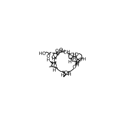 C=C1C[C@@H]2CCO[C@H]3[C@@H]4C[C@H]5CC[C@H](CC(=O)C[C@@H]6[C@@H](OC)[C@@H](C[C@H](O)CO)O[C@H]6C[C@H]6O[C@@H](CC[C@@H]1O2)C[C@@H](C)C6=C)O[C@@H]5[C@@H]1OCC[C@@H]3O[C@H]41